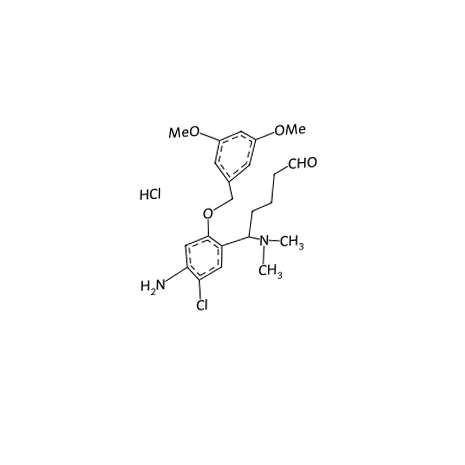 COc1cc(COc2cc(N)c(Cl)cc2C(CCCC=O)N(C)C)cc(OC)c1.Cl